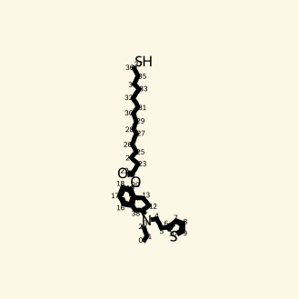 CCCN(CCc1cccs1)C1CCc2c(cccc2OC(=O)CCCCCCCCCCCCCCS)C1